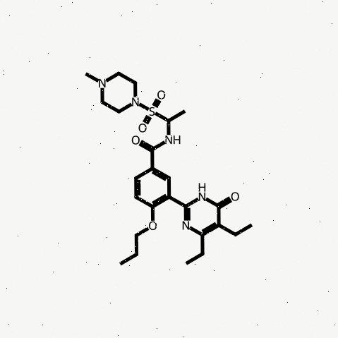 CCCOc1ccc(C(=O)NC(C)S(=O)(=O)N2CCN(C)CC2)cc1-c1nc(CC)c(CC)c(=O)[nH]1